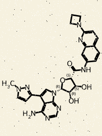 Cn1ccc(-c2cn([C@@H]3O[C@H](C(=O)Nc4ccc5ccc(N6CCC6)nc5c4)[C@@H](O)[C@H]3O)c3ncnc(N)c23)n1